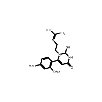 COc1ccc(C2=CC(=O)NC(S)N2CCN=C(N)N)c(OC)c1